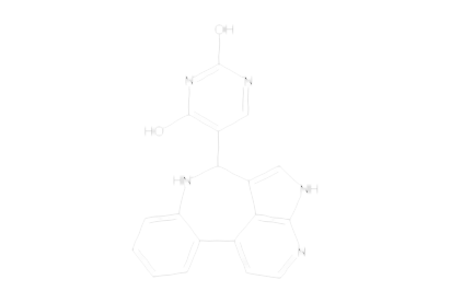 Oc1ncc(C2Nc3ccccc3-c3ccnc4[nH]cc2c34)c(O)n1